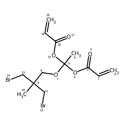 C=CC(=O)OC(C)(OCC(C)(CBr)CBr)OC(=O)C=C